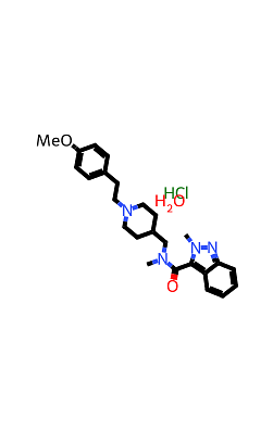 COc1ccc(CCN2CCC(CN(C)C(=O)c3c4ccccc4nn3C)CC2)cc1.Cl.O